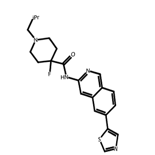 CC(C)CN1CCC(F)(C(=O)Nc2cc3cc(-c4cncs4)ccc3cn2)CC1